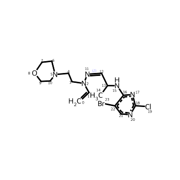 C=CN(CCN1CCOCC1)/N=C\C(C)Nc1nc(Cl)ncc1Br